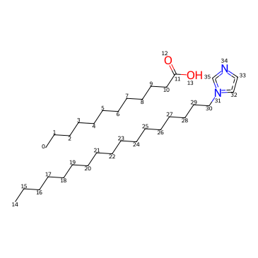 CCCCCCCCCCCC(=O)O.CCCCCCCCCCCCCCCCCn1ccnc1